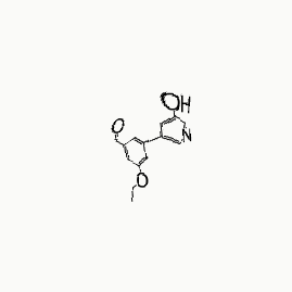 CCOc1cc(C=O)cc(-c2cncc(O)c2)c1